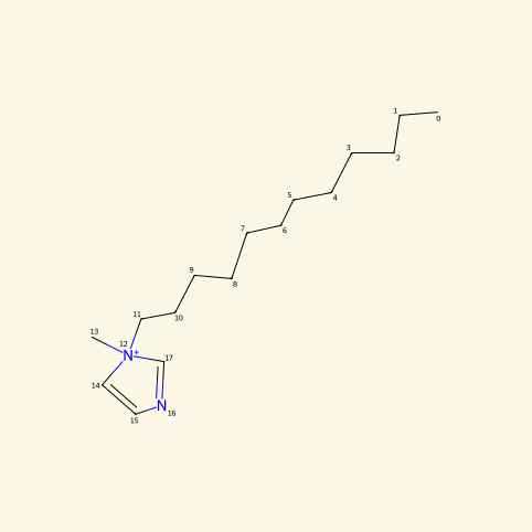 CCCCCCCCCCCC[N+]1(C)C=CN=C1